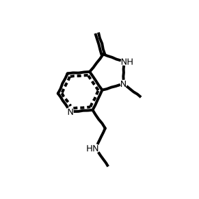 C=C1NN(C)c2c1ccnc2CNC